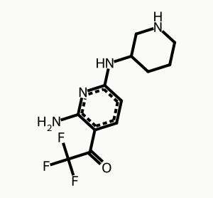 Nc1nc(NC2CCCNC2)ccc1C(=O)C(F)(F)F